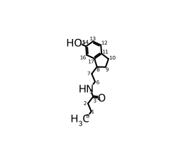 CCCC(=O)NCCC1CCc2ccc(O)cc21